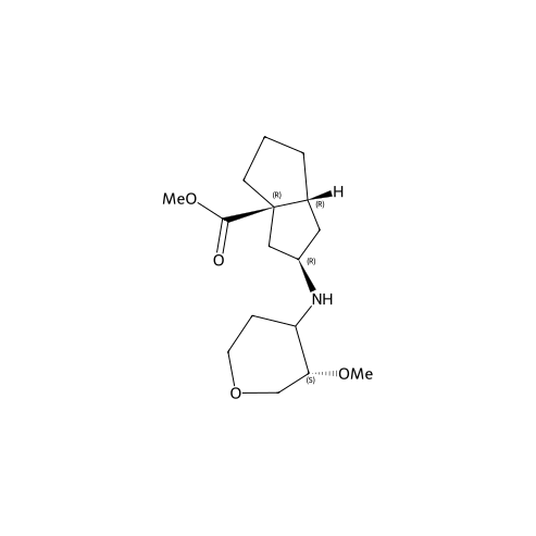 COC(=O)[C@@]12CCC[C@@H]1C[C@@H](NC1CCOC[C@H]1OC)C2